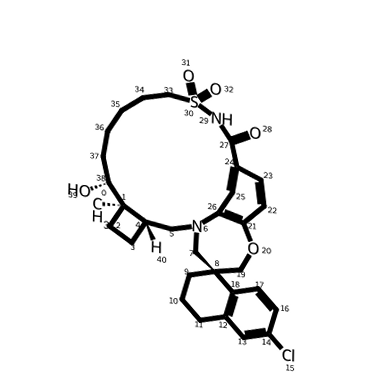 C[C@@]12CC[C@H]1CN1C[C@@]3(CCCc4cc(Cl)ccc43)COc3ccc(cc31)C(=O)NS(=O)(=O)CCCCC[C@H]2O